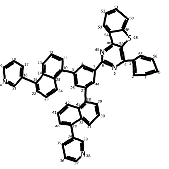 c1ccc(-c2nc(-c3cc(-c4cccc5c(-c6cccnc6)cccc45)cc(-c4cccc5c(-c6cccnc6)cccc45)c3)nc3c2sc2ccccc23)cc1